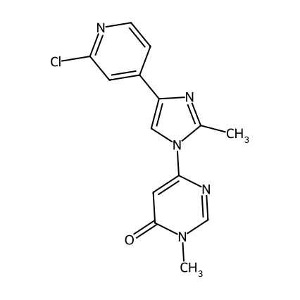 Cc1nc(-c2ccnc(Cl)c2)cn1-c1cc(=O)n(C)cn1